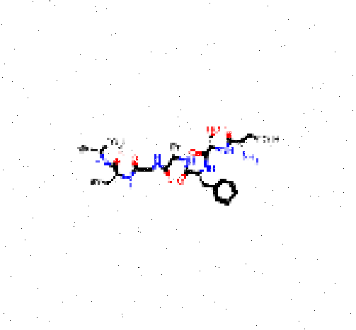 CCCC[C@H](NC(=O)[C@H](CC(C)C)NC(=O)CNC(=O)[C@@H](NC(=O)[C@H](Cc1ccccc1)NC(=O)[C@H](CO)NC(=O)[C@@H](N)CC(=O)O)C(C)C)C(=O)O